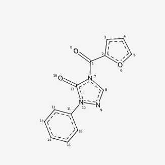 O=C(c1ccco1)n1cnn(-c2ccccc2)c1=O